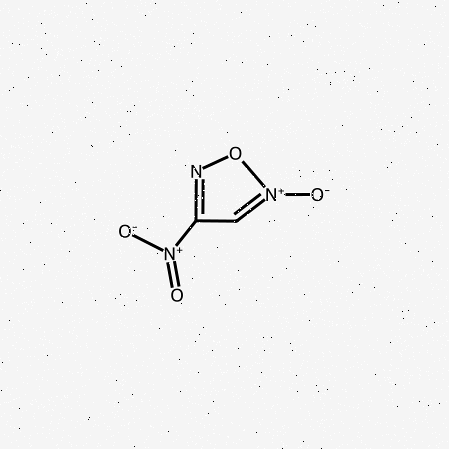 O=[N+]([O-])c1c[n+]([O-])on1